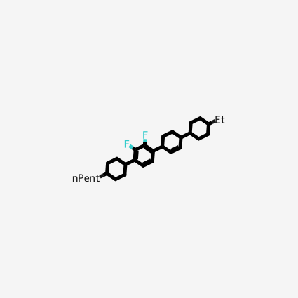 CCCCCC1CCC(c2ccc(C3C=CC(C4CCC(CC)CC4)CC3)c(F)c2F)CC1